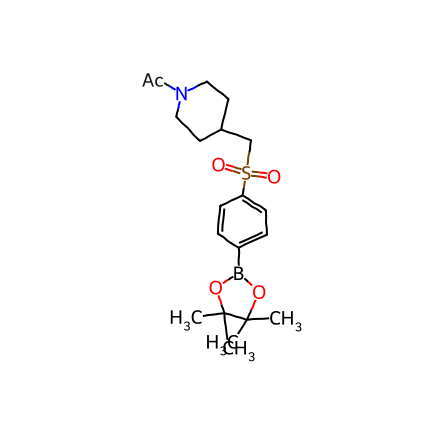 CC(=O)N1CCC(CS(=O)(=O)c2ccc(B3OC(C)(C)C(C)(C)O3)cc2)CC1